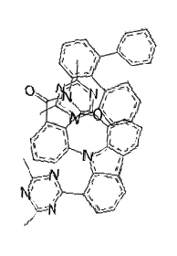 Cc1nc(C)nc(-c2cccc3c4cccc(-c5nc(C)nc(C)n5)c4n(-c4cccc5c4C(=O)N(c4cccc(-c6ccccc6)c4-c4ccccc4)C5=O)c23)n1